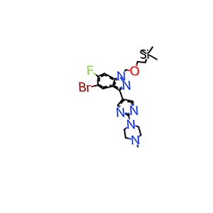 CN1CCN(c2ncc(-c3nn(COCC[Si](C)(C)C)c4cc(F)c(Br)cc34)cn2)CC1